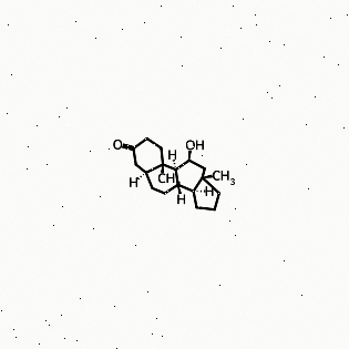 C[C@@]12CCC[C@H]1[C@@H]1CC[C@H]3CC(=O)CC[C@]3(C)[C@H]1[C@@H](O)C2